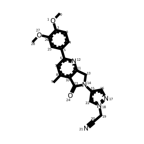 COc1ccc(-c2cc(C)c3c(n2)CN(c2cnn(CC#N)c2)C3=O)cc1OC